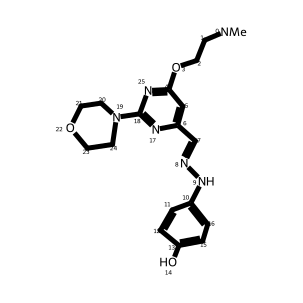 CNCCOc1cc(C=NNc2ccc(O)cc2)nc(N2CCOCC2)n1